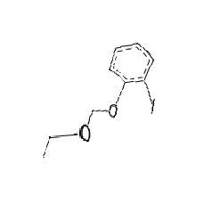 CCOCOc1ccccc1I